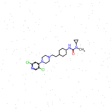 CN(C(=O)NC1CCC(CCN2CCN(c3cc(Cl)ncc3Cl)CC2)CC1)C1CC1